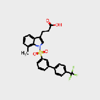 Cc1cccc2c(CCC(=O)O)cn(S(=O)(=O)c3cccc(-c4ccc(C(F)(F)F)cc4)c3)c12